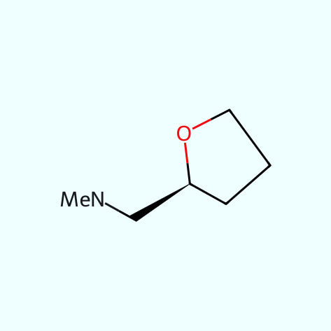 CNC[C@@H]1CCCO1